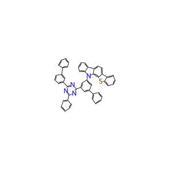 c1ccc(-c2cccc(-c3nc(-c4ccccc4)nc(-c4cc(-c5ccccc5)cc(-n5c6ccccc6c6ccc7c8ccccc8sc7c65)c4)n3)c2)cc1